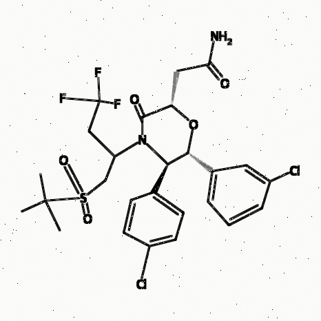 CC(C)(C)S(=O)(=O)CC(CC(F)(F)F)N1C(=O)[C@H](CC(N)=O)O[C@H](c2cccc(Cl)c2)[C@H]1c1ccc(Cl)cc1